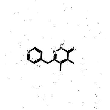 Cc1c(Cc2ccncc2)n[nH]c(=O)c1C